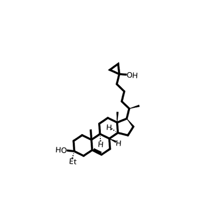 CC[C@]1(O)CCC2(C)C(=CC[C@@H]3[C@@H]2CC[C@]2(C)[C@@H]([C@H](C)CCCC4(O)CC4)CC[C@@H]32)C1